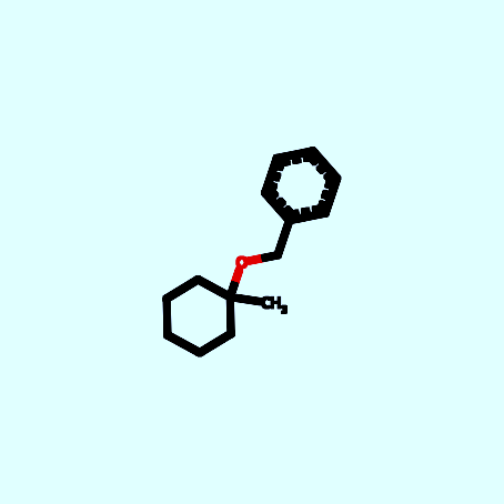 CC1(OCc2ccccc2)CCCCC1